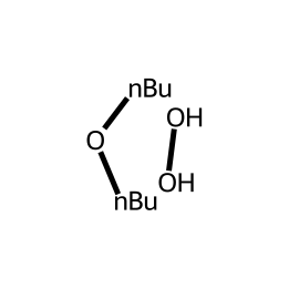 CCCCOCCCC.OO